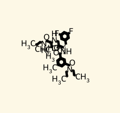 CCCN(CCC)C(=O)c1cc(C)cc(C(=O)N[C@@H](Cc2cc(F)cc(F)c2)[C@H](O)CN[C@H](C(=O)NCC(C)C)C(C)C)c1